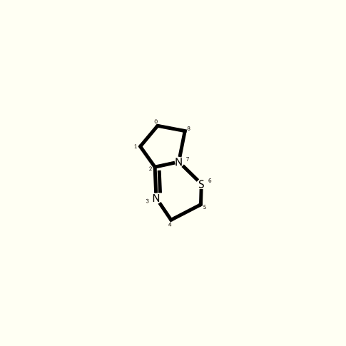 C1CC2=NCCSN2C1